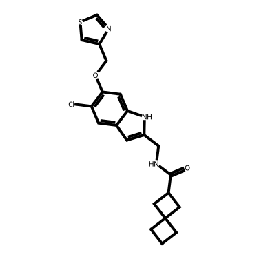 O=C(NCc1cc2cc(Cl)c(OCc3cscn3)cc2[nH]1)C1CC2(CCC2)C1